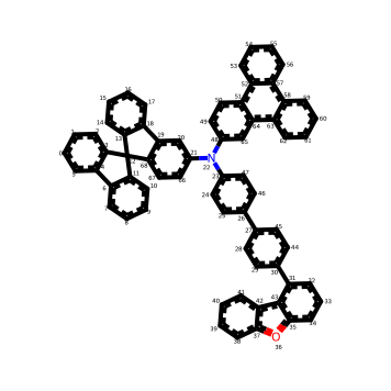 c1ccc2c(c1)-c1ccccc1C21c2ccccc2-c2cc(N(c3ccc(-c4ccc(-c5cccc6oc7ccccc7c56)cc4)cc3)c3ccc4c5ccccc5c5ccccc5c4c3)ccc21